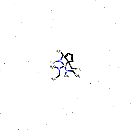 CC[N](C)[Hf]([N](C)CC)([N](C)CC)[C]1(CC)C=CC=C1